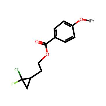 CC(C)Oc1ccc(C(=O)OCCC2CC2(F)Cl)cc1